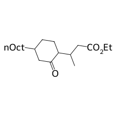 CCCCCCCCC1CCC(C(C)CC(=O)OCC)C(=O)C1